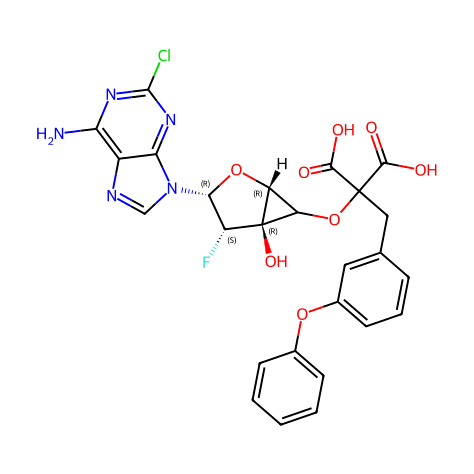 Nc1nc(Cl)nc2c1ncn2[C@@H]1O[C@@H]2C(OC(Cc3cccc(Oc4ccccc4)c3)(C(=O)O)C(=O)O)[C@]2(O)[C@@H]1F